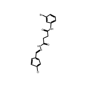 O=C(CCC(=O)Nc1cccc(Br)c1)N/N=C/c1ccc(Cl)cc1